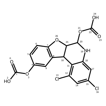 O=C(O)Oc1ccc2c(c1)C1c3c(Cl)cc(Cl)cc3NC(OC(=O)O)C1O2